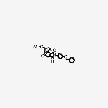 CCCCc1c2c(=O)n(-c3ccc(OCc4ccccc4)cc3)[nH]c2cc(=O)n1CCOC